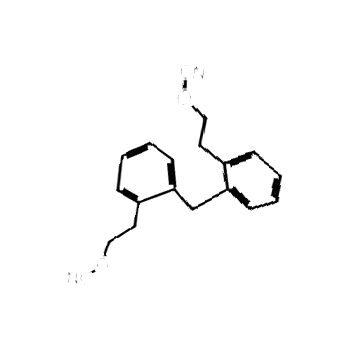 N#COCCc1ccccc1Cc1ccccc1CCOC#N